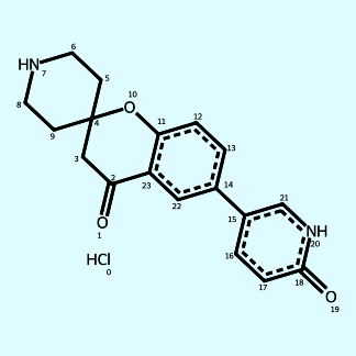 Cl.O=C1CC2(CCNCC2)Oc2ccc(-c3ccc(=O)[nH]c3)cc21